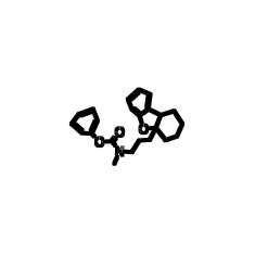 CN(CCCC12CCCCC1c1ccccc1O2)C(=O)Oc1ccccc1